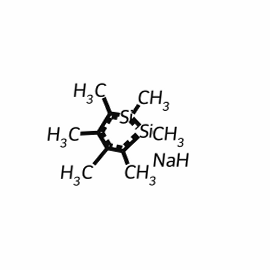 Cc1c(C)c(C)[si](C)[si](C)c1C.[NaH]